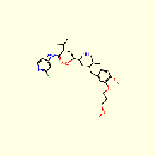 COCCCOc1cc(C[C@@H](C[C@H](N)[C@@H](O)C[C@H](C(=O)Nc2ccnc(F)c2)C(C)C)C(C)C)ccc1OC